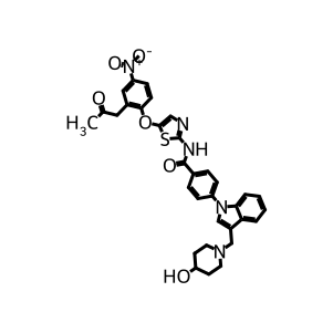 CC(=O)Cc1cc([N+](=O)[O-])ccc1Oc1cnc(NC(=O)c2ccc(-n3cc(CN4CCC(O)CC4)c4ccccc43)cc2)s1